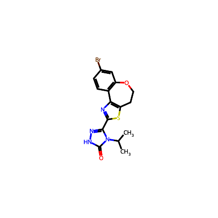 CC(C)n1c(-c2nc3c(s2)CCOc2cc(Br)ccc2-3)n[nH]c1=O